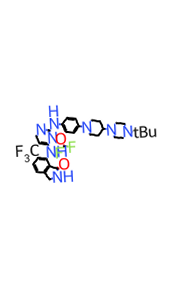 CC(C)(C)N1CCN(C2CCN(c3ccc(Nc4ncc(C(F)(F)F)c(Nc5cccc6c5C(=O)NC6)n4)c(OC(F)F)c3)CC2)CC1